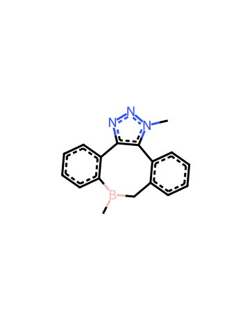 CB1Cc2ccccc2-c2c(nnn2C)-c2ccccc21